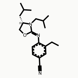 CCc1cc(C#N)ccc1N=C1OC[C@H](CC(C)C)N1CC(C)C